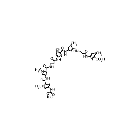 Cn1cc(NC(=O)c2nc(NC(=O)CCNC(=O)c3cc(NC(=O)c4nc(NC(=O)OC(C)(C)C)cn4C)cn3C)cn2C)cc1CNCCC(=O)Nc1cn(C)c(C(=O)O)n1